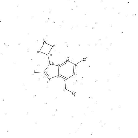 Cc1nc2c(CBr)cc(Cl)nc2n1C1COC1